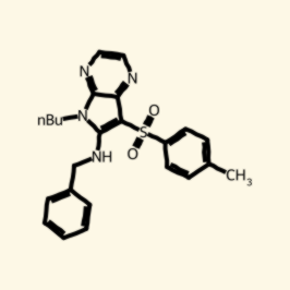 CCCCn1c(NCc2ccccc2)c(S(=O)(=O)c2ccc(C)cc2)c2nccnc21